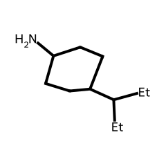 CCC(CC)C1CCC(N)CC1